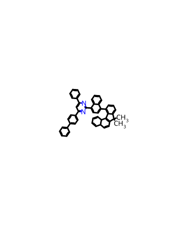 CC1(C)C2=C(c3c(-c4ccc(-c5nc(-c6ccccc6)cc(-c6ccc(-c7ccccc7)cc6)n5)c5ccccc45)cccc31)C1C=CC=CC1C=C2